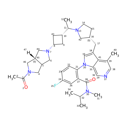 CC(=O)N1CC2CN([C@H]3C[C@@H](C(C)N4CC[C@H](Cc5cn(-c6ccc(F)cc6C(=O)N(C)C(C)C)c6cncc(C)c56)C4)C3)C[C@H]2C1